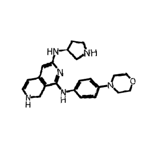 C1=Cc2cc(N[C@H]3CCNC3)nc(Nc3ccc(N4CCOCC4)cc3)c2CN1